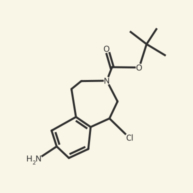 CC(C)(C)OC(=O)N1CCc2cc(N)ccc2C(Cl)C1